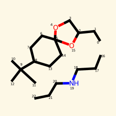 CCC1COC2(CCC(C(C)(C)C)CC2)O1.CCCNCCC